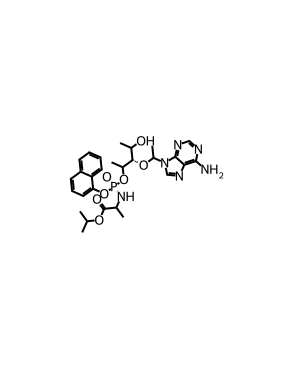 CC(C)OC(=O)C(C)NP(=O)(Oc1cccc2ccccc12)OC(C)[C@@H](OC(C)n1cnc2c(N)ncnc21)C(C)O